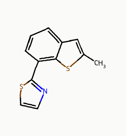 Cc1cc2cccc(-c3nccs3)c2s1